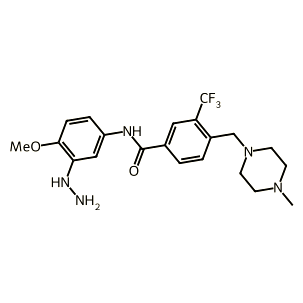 COc1ccc(NC(=O)c2ccc(CN3CCN(C)CC3)c(C(F)(F)F)c2)cc1NN